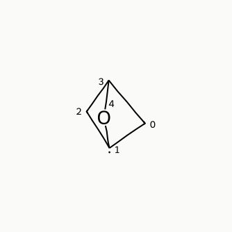 C1[C]2CC1O2